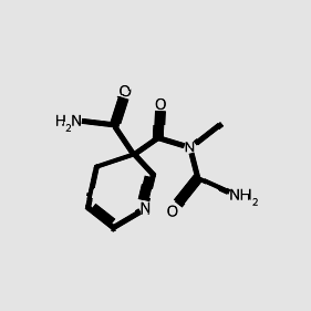 CN(C(N)=O)C(=O)C1(C(N)=O)C=NC=CC1